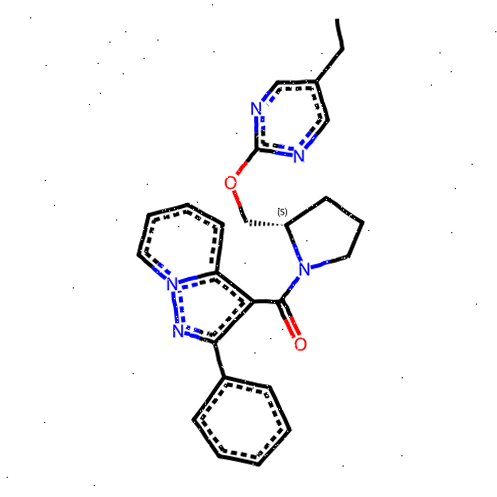 CCc1cnc(OC[C@@H]2CCCN2C(=O)c2c(-c3ccccc3)nn3ccccc23)nc1